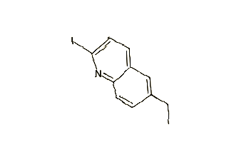 CCc1ccc2nc(I)ccc2c1